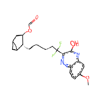 COc1ccc2nc(C(F)(F)CCCC[C@H]3C(OC=O)CC4CC43)c(O)nc2c1